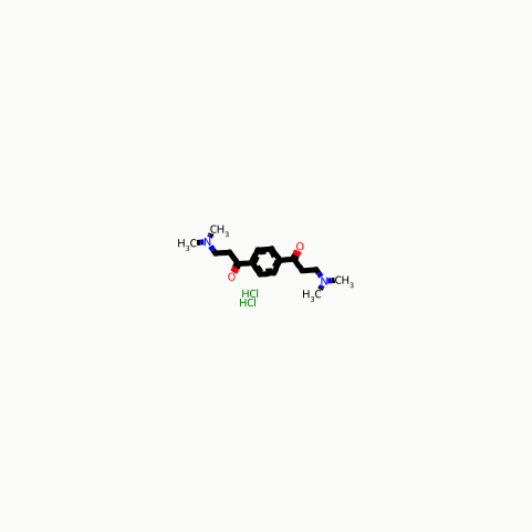 CN(C)CCC(=O)c1ccc(C(=O)CCN(C)C)cc1.Cl.Cl